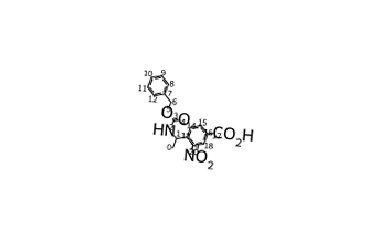 CC(NC(=O)OCc1ccccc1)c1ccc(C(=O)O)cc1[N+](=O)[O-]